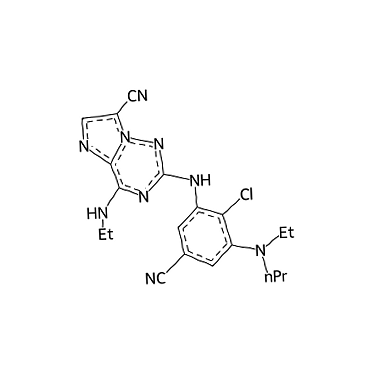 CCCN(CC)c1cc(C#N)cc(Nc2nc(NCC)c3ncc(C#N)n3n2)c1Cl